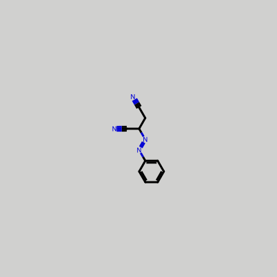 N#CCC(C#N)/N=N/c1ccccc1